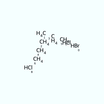 Br.C.C.C.C.C.C.Cl.Cl